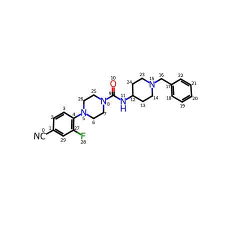 N#Cc1ccc(N2CCN(C(=O)NC3CCN(Cc4ccccc4)CC3)CC2)c(F)c1